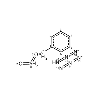 Cc1ccccc1.O=[SH2]=O.[N-]=[N+]=N.[N-]=[N+]=[N-]